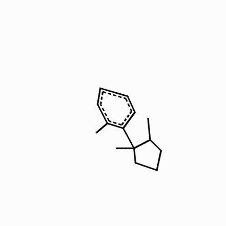 Cc1ccccc1C1(C)CCCC1C